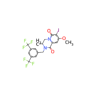 COc1cc2n(c(=O)c1I)CC(C)N(Cc1cc(C(F)(F)F)cc(C(F)(F)F)c1)C2=O